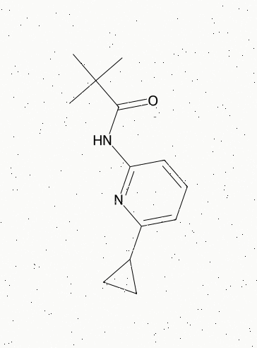 CC(C)(C)C(=O)Nc1cccc(C2CC2)n1